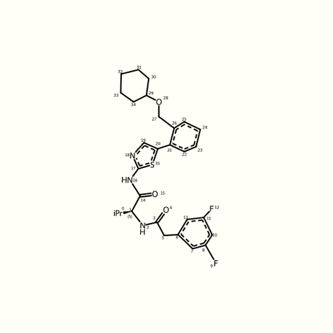 CC(C)[C@H](NC(=O)Cc1cc(F)cc(F)c1)C(=O)Nc1ncc(-c2ccccc2COC2CCCCC2)s1